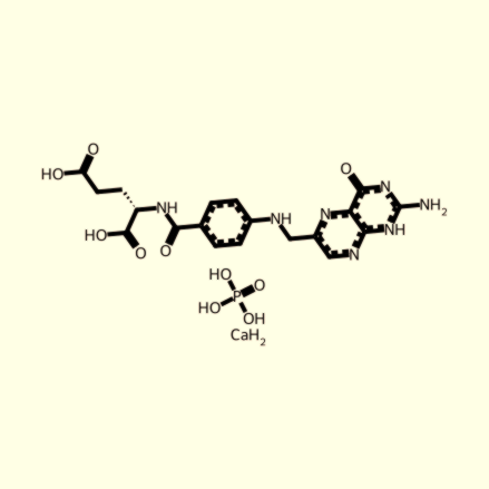 Nc1nc(=O)c2nc(CNc3ccc(C(=O)N[C@@H](CCC(=O)O)C(=O)O)cc3)cnc2[nH]1.O=P(O)(O)O.[CaH2]